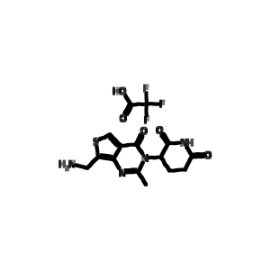 Cc1nc2c(CN)scc2c(=O)n1C1CCC(=O)NC1=O.O=C(O)C(F)(F)F